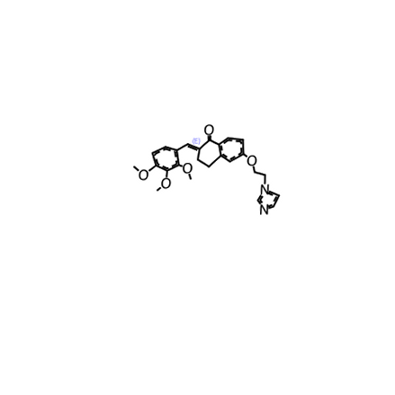 COc1ccc(/C=C2\CCc3cc(OCCn4ccnc4)ccc3C2=O)c(OC)c1OC